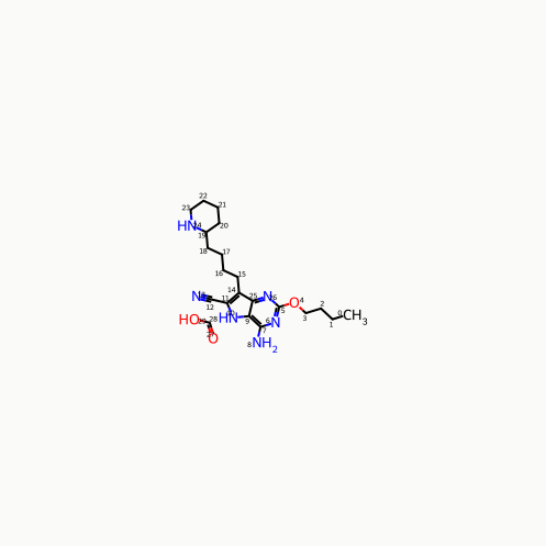 CCCCOc1nc(N)c2[nH]c(C#N)c(CCCCC3CCCCN3)c2n1.O=CO